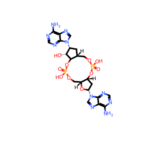 Nc1ncnc2c1ncn2[C@@H]1C[C@@H]2COP(=O)(O)O[C@@H]3C[C@H](n4cnc5c(N)ncnc54)O[C@@H]3COP(=O)(O)OC2[C@@H]1O